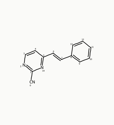 N#Cc1nccc(/C=C/c2ccccc2)n1